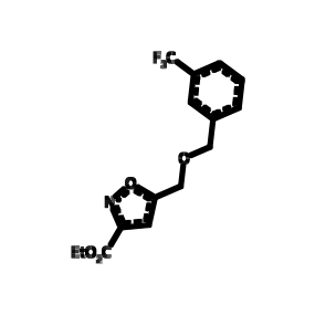 CCOC(=O)c1cc(COCc2cccc(C(F)(F)F)c2)on1